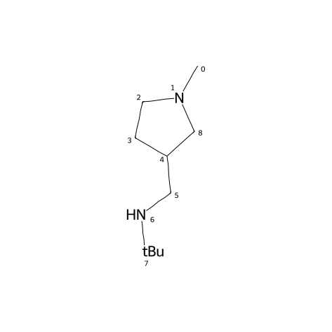 CN1CCC(CNC(C)(C)C)C1